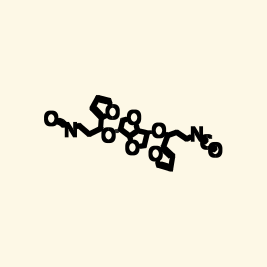 O=C=NCCC(O[C@@H]1COC2C1OC[C@H]2OC(CCN=C=O)c1ccco1)c1ccco1